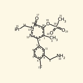 Cc1c(-c2ccc(F)c(CN)c2)nn(CC(C)C)c(=O)c1OS(C)(=O)=O